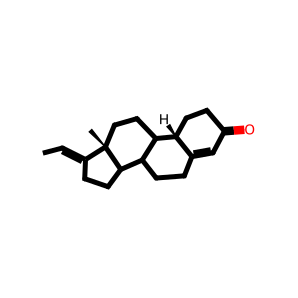 CC=C1CCC2C3CCC4=CC(=O)CC[C@H]4C3CC[C@@]12C